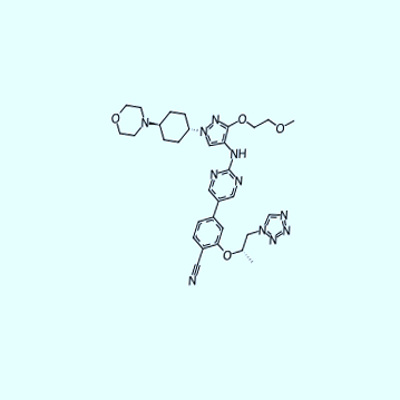 COCCOc1nn([C@H]2CC[C@H](N3CCOCC3)CC2)cc1Nc1ncc(-c2ccc(C#N)c(O[C@@H](C)Cn3cnnn3)c2)cn1